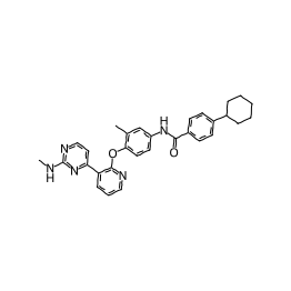 CNc1nccc(-c2cccnc2Oc2ccc(NC(=O)c3ccc(C4CCCCC4)cc3)cc2C)n1